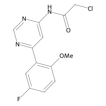 COc1ccc(F)cc1-c1cc(NC(=O)CCl)ncn1